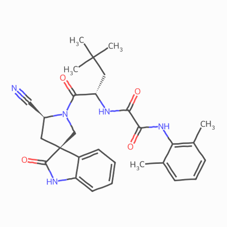 Cc1cccc(C)c1NC(=O)C(=O)N[C@@H](CC(C)(C)C)C(=O)N1C[C@]2(C[C@H]1C#N)C(=O)Nc1ccccc12